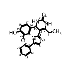 CCC1=C(c2ncc(-c3ccccc3)o2)C(c2ccc(O)c(Cl)c2)NC(=O)N1